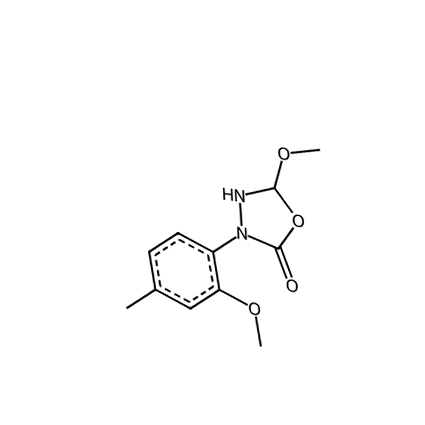 COc1cc(C)ccc1N1NC(OC)OC1=O